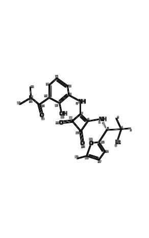 CCC(C)(C)[C@@H](Nc1c(Nc2cccc(C(=O)N(C)C)c2O)c(=O)c1=O)c1ccc(C)o1